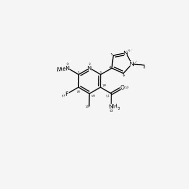 CNc1nc(-c2cnn(C)c2)c(C(N)=O)c(C)c1F